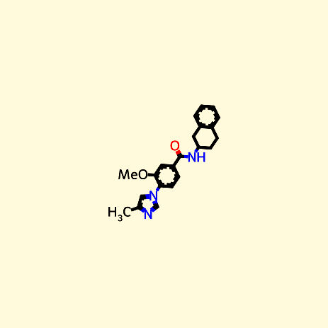 COc1cc(C(=O)NC2CCc3ccccc3C2)ccc1-n1cnc(C)c1